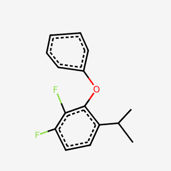 CC(C)c1ccc(F)c(F)c1Oc1ccccc1